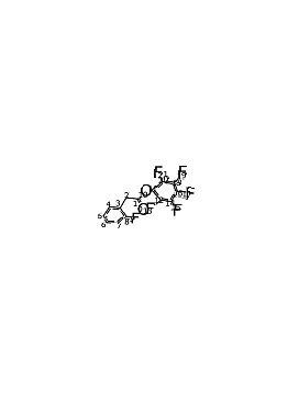 O=C(Cc1ccccc1F)Oc1c(F)c(F)c(F)c(F)c1F